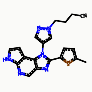 Cc1ccc(-c2nc3cnc4[nH]ccc4c3n2-c2cnn(CCCC#N)c2)s1